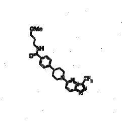 COCCCNC(=O)c1ccc(C2CCN(c3ccc4nnc(C(F)(F)F)n4n3)CC2)cc1